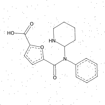 O=C(O)c1ccc(C(=O)N(c2ccccc2)C2CCCCN2)o1